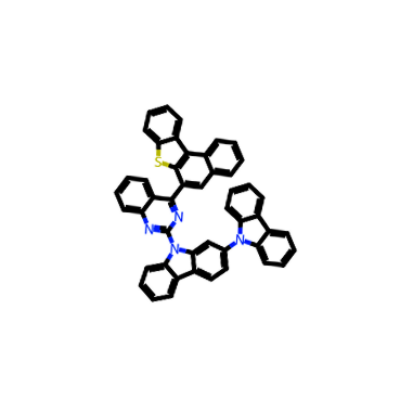 c1ccc2c(c1)cc(-c1nc(-n3c4ccccc4c4ccc(-n5c6ccccc6c6ccccc65)cc43)nc3ccccc13)c1sc3ccccc3c12